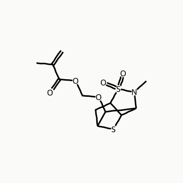 C=C(C)C(=O)OCOC1C2CC3C(S2)C1N(C)S3(=O)=O